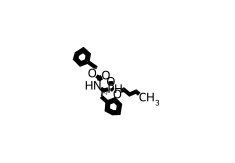 CCCCO[PH](=O)[C@H](Cc1ccccc1)NC(=O)OCc1ccccc1